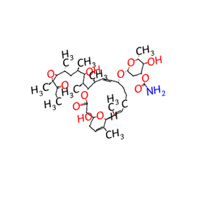 CCC(=O)[C@]1(C)O[C@H]1[C@H](C)C[C@@H](C)[C@@H](O)[C@H](C)[C@H]1OC(=O)C[C@@]2(O)CC=C(C)[C@H](O2)/C(C)=C/CCC[C@@H](O[C@H]2C[C@@H](OC(N)=O)[C@H](O)[C@@H](C)O2)/C=C/[C@@H]1C